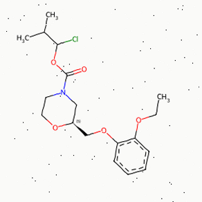 CCOc1ccccc1OC[C@@H]1CN(C(=O)OC(Cl)C(C)C)CCO1